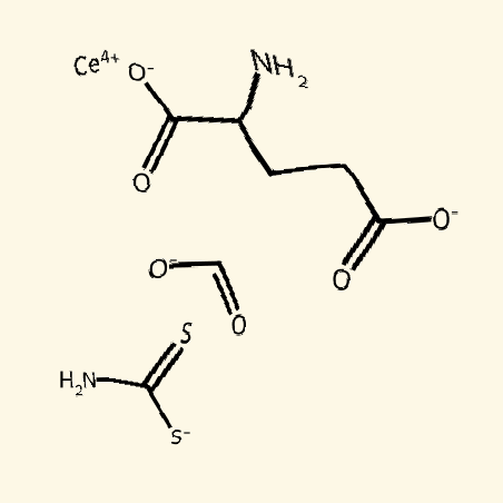 NC(=S)[S-].NC(CCC(=O)[O-])C(=O)[O-].O=C[O-].[Ce+4]